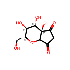 O=C1CC(=O)[C@]2(O)[C]1O[C@H](CO)[C@@H](O)[C@@H]2O